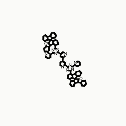 c1ccc(-c2nc(-c3cc(-c4cncc(-c5nc(-c6cccnc6)nc(-c6cccc7c6-c6c(oc8ccccc68)C76c7ccccc7-c7ccccc76)n5)c4)ccn3)nc(-c3cccc4c3-c3ccccc3C43c4ccccc4-c4c3oc3ccccc43)n2)nc1